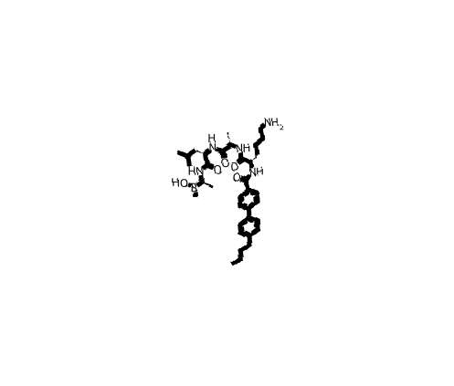 CCCCc1ccc(-c2ccc(C(=O)N[C@@H](CCCCN)C(=O)N[C@@H](C)C(=O)N[C@@H](CC(C)C)C(=O)N[C@@H](C)B(C)O)cc2)cc1